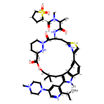 CCn1c(-c2cc(N3CCN(C)CC3)cnc2[C@H](C)OC)c2c3cc(ccc31)-c1csc(n1)C[C@H](NC(=O)C(C(C)C)N(C)C(=O)[C@@H]1CCCS1(=O)=O)C(=O)N1CCC[C@H](N1)C(=O)OCC(C)(C)C2